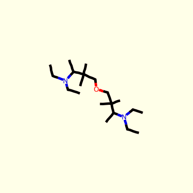 CCN(CC)C(C)C(C)(C)COCC(C)(C)C(C)N(CC)CC